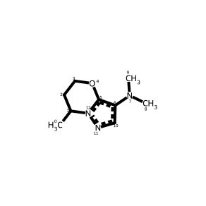 CC1CCOc2c(N(C)C)cnn21